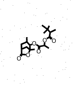 CC(OC(=O)C(C)C(C)(C)C)C(=O)OC1C(C)CC2CC1(C)OC2=O